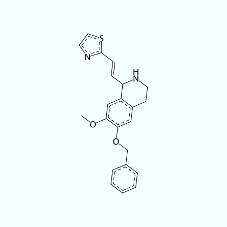 COc1cc2c(cc1OCc1ccccc1)CCNC2C=Cc1nccs1